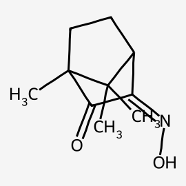 CC12CCC(/C(=N/O)C1=O)C2(C)C